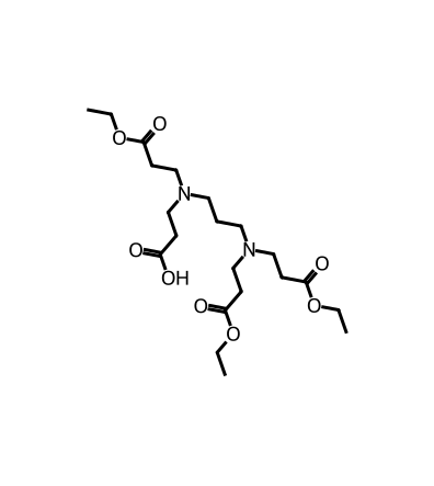 CCOC(=O)CCN(CCCN(CCC(=O)OCC)CCC(=O)OCC)CCC(=O)O